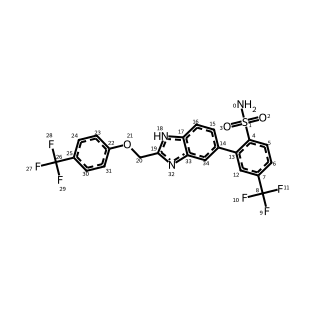 NS(=O)(=O)c1ccc(C(F)(F)F)cc1-c1ccc2[nH]c(COc3ccc(C(F)(F)F)cc3)nc2c1